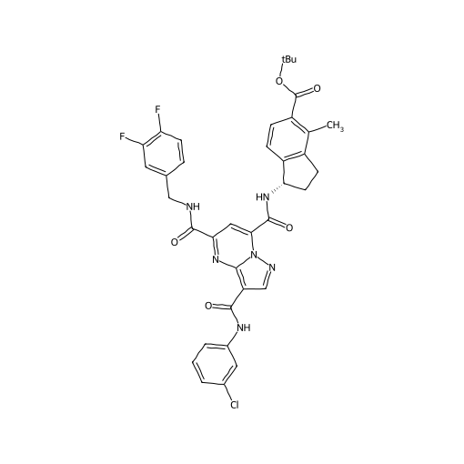 Cc1c(C(=O)OC(C)(C)C)ccc2c1CC[C@@H]2NC(=O)c1cc(C(=O)NCc2ccc(F)c(F)c2)nc2c(C(=O)Nc3cccc(Cl)c3)cnn12